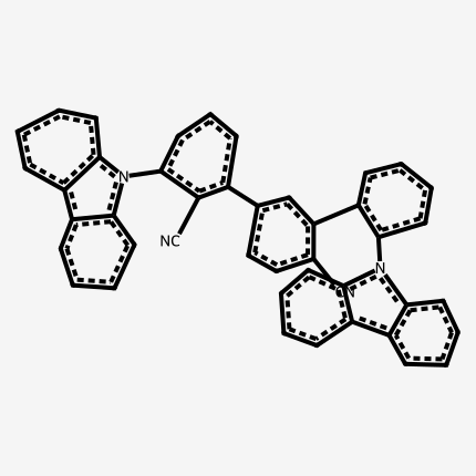 N#Cc1ccc(-c2cccc(-n3c4ccccc4c4ccccc43)c2C#N)cc1-c1ccccc1-n1c2ccccc2c2ccccc21